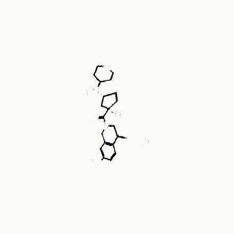 CC(C)[C@]1(C(=O)N2Cc3cc(C(F)(F)F)ccc3C(C(=O)O)C2)CC[C@@H](NC2CCOCC2)C1